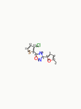 Cc1ccc(-c2noc(-c3sccc3Cl)n2)o1